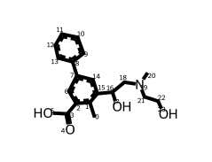 Cc1c(C(=O)O)cc(-c2ccccc2)cc1C(O)CN(C)CCO